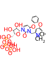 C=N/C(=C\C(=C/C)Oc1ccccc1)Cn1c(=O)ccn([C@@H]2O[C@H](COP(=O)(O)OP(=O)(O)OP(=O)(O)O)C(O)C2O)c1=O